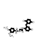 COc1ccc(S(=O)(=O)NCC(=O)Nc2ccc(Cl)cc2Cc2cc(Cl)ccc2Cl)cc1OC